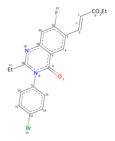 CCOC(=O)/C=C/c1cc2c(=O)n(-c3ccc(Br)cc3)c(CC)nc2cc1F